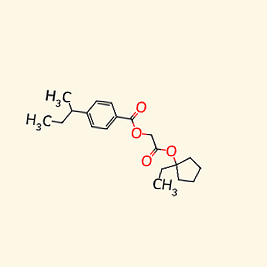 CCC(C)c1ccc(C(=O)OCC(=O)OC2(CC)CCCC2)cc1